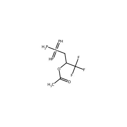 CC(=O)OC(CS(=P)(=P)P)C(F)(F)F